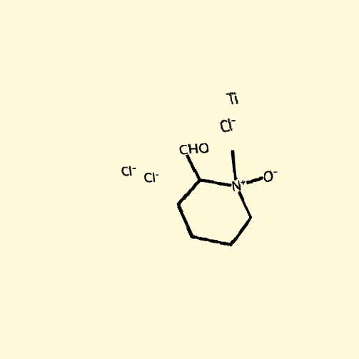 C[N+]1([O-])CCCCC1C=O.[Cl-].[Cl-].[Cl-].[Ti]